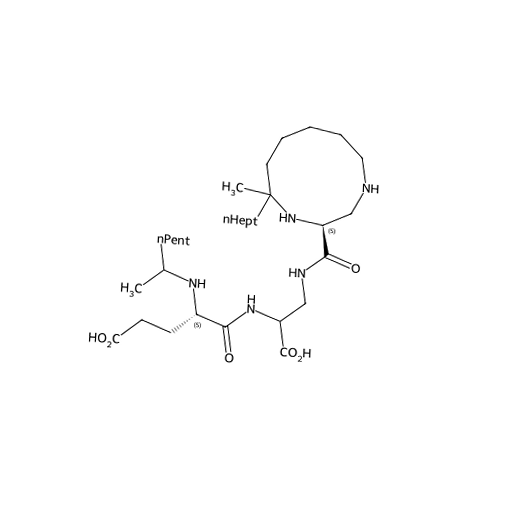 CCCCCCCC1(C)CCCCCNC[C@@H](C(=O)NCC(NC(=O)[C@H](CCC(=O)O)NC(C)CCCCC)C(=O)O)N1